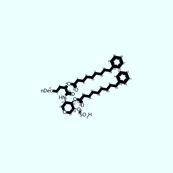 CCCCCCCCCCCCC(OC(=O)CCCCCCCCc1ccccc1)C(=O)N[C@H]1COC[C@@H](OS(=O)(=O)O)[C@@H]1OC(=O)CCCCCCCCc1ccccc1